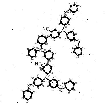 N#Cc1cc(N(c2ccc(Sc3ccccc3)cc2)c2ccc(Sc3ccccc3)cc2)ccc1-c1cccc(N(c2ccccc2)c2cccc(-c3ccc(N(c4ccc(Sc5ccccc5)cc4)c4ccc(Sc5ccccc5)cc4)cc3C#N)c2)c1